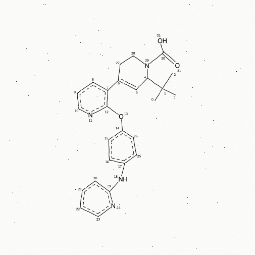 CC(C)(C)C1C=C(c2cccnc2Oc2ccc(Nc3ccccn3)cc2)CCN1C(=O)O